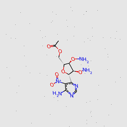 CC(=O)OC[C@H]1O[C@@H](c2ncnc(N)c2[N+](=O)[O-])[C@H](ON)[C@@H]1ON